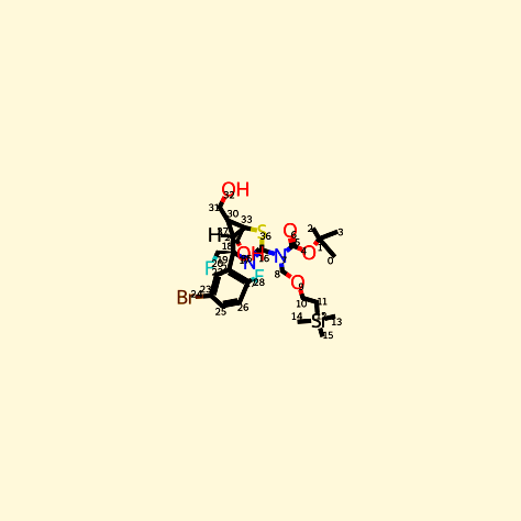 CC(C)(C)OC(=O)N(COCC[Si](C)(C)C)C1=N[C@](CF)(c2cc(Br)ccc2F)[C@@H]2C(CO)[C@]2(CO)S1